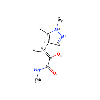 CCCCNC(=O)c1oc2nn(C(C)C)c(C)c2c1C